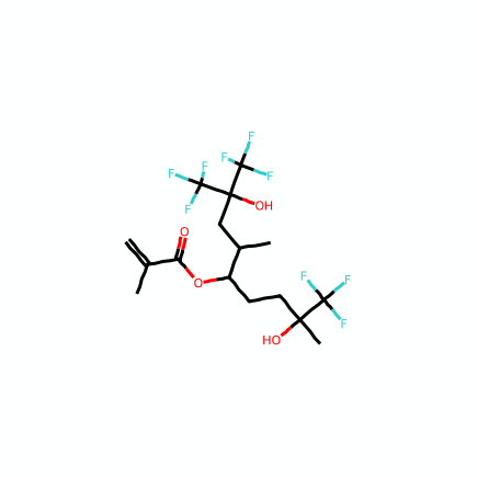 C=C(C)C(=O)OC(CCC(C)(O)C(F)(F)F)C(C)CC(O)(C(F)(F)F)C(F)(F)F